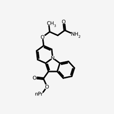 CCCOC(=O)c1c2ccccc2n2cc(OC(C)CC(N)=O)ccc12